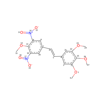 COc1cc(C=Cc2cc([N+](=O)[O-])c(OC)c([N+](=O)[O-])c2)cc(OC)c1OC